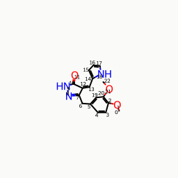 COc1ccc(CC2=NNC(=O)C2=Cc2ccc[nH]2)cc1OC